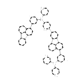 c1cncc(N(c2ccncc2)c2cccc(-c3ccc4c5c(cccc35)-c3cc(-c5ccc(N(c6cccnc6)c6cccc(-c7ccc8c9c(cccc79)-c7ccccc7-8)c6)cn5)ccc3-4)c2)c1